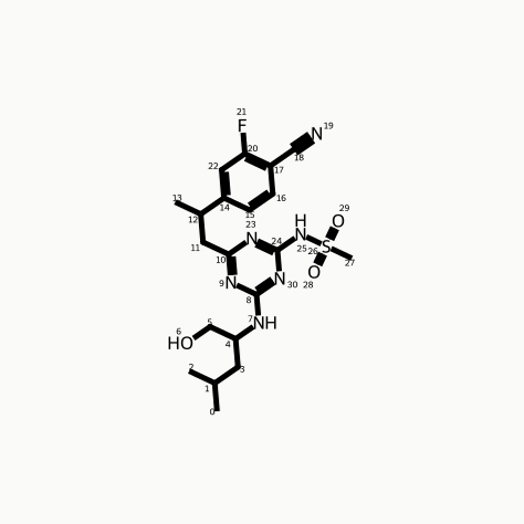 CC(C)CC(CO)Nc1nc(CC(C)c2ccc(C#N)c(F)c2)nc(NS(C)(=O)=O)n1